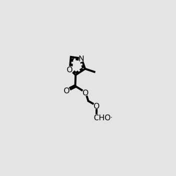 Cc1ncoc1C(=O)OCO[C]=O